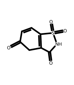 O=C1C=CC2=C(C1)C(=O)NS2(=O)=O